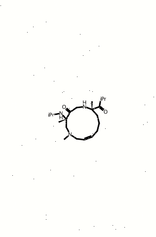 CC(C)N[C@@]1(C)CN(C)CC=CCCC[C@@](C)(C(=O)C(C)C)NCC1=O